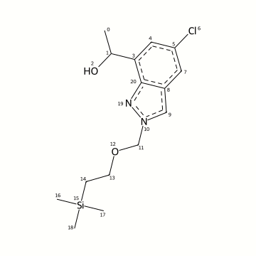 CC(O)c1cc(Cl)cc2cn(COCC[Si](C)(C)C)nc12